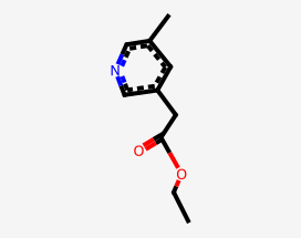 CCOC(=O)Cc1cncc(C)c1